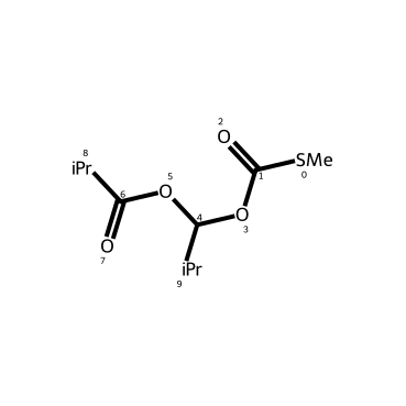 CSC(=O)OC(OC(=O)C(C)C)C(C)C